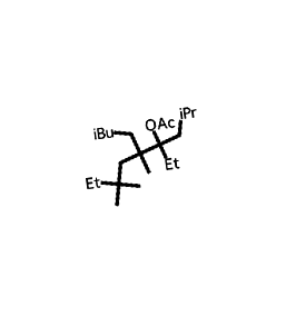 CCC(C)CC(C)(CC(C)(C)CC)C(CC)(CC(C)C)OC(C)=O